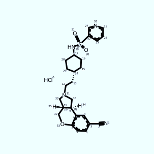 Cl.N#Cc1ccc2c(c1)[C@@H]1CN(CC[C@H]3CC[C@H](NS(=O)(=O)c4cccnc4)CC3)C[C@H]1CO2